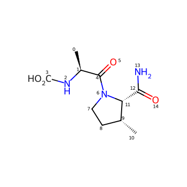 C[C@H](NC(=O)O)C(=O)N1CC[C@@H](C)[C@H]1C(N)=O